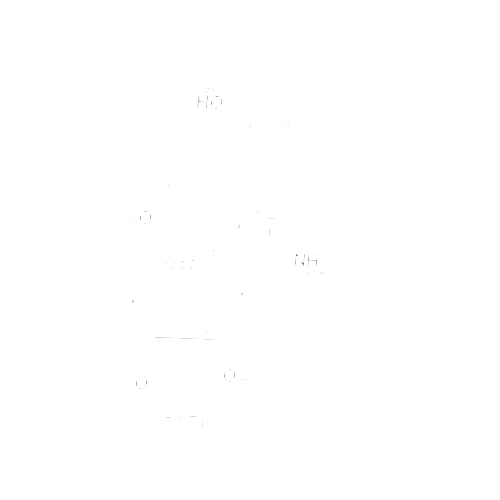 CC(Oc1ccc2c(c1)OCCO2)c1cc(N)ccc1O